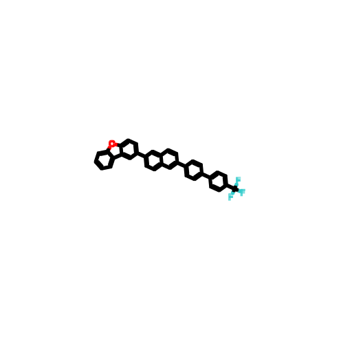 FC(F)(F)c1ccc(-c2ccc(-c3ccc4cc(-c5ccc6oc7ccccc7c6c5)ccc4c3)cc2)cc1